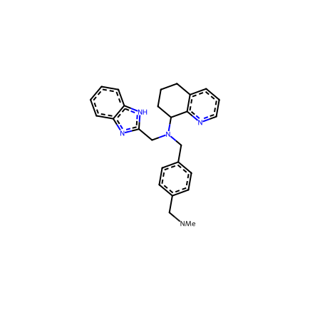 CNCc1ccc(CN(Cc2nc3ccccc3[nH]2)C2CCCc3cccnc32)cc1